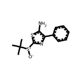 CC(C)(C)[S+]([O-])c1nc(-c2ccccc2)c(N)s1